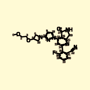 COCCOC1CN(c2ccn(-c3cc(-c4c(F)cccc4C#N)nc4c3C(=O)NC4)n2)C1